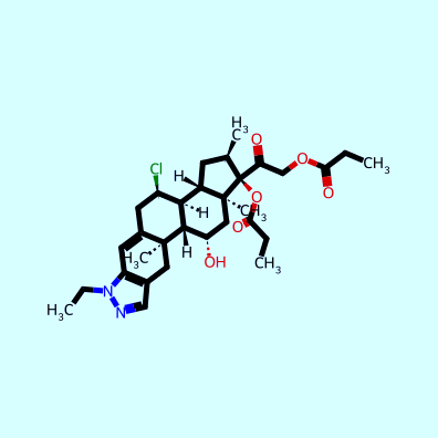 CCC(=O)OCC(=O)[C@@]1(OC(=O)CC)[C@H](C)C[C@H]2[C@H]3[C@H]([C@@H](O)C[C@@]21C)[C@@]1(C)Cc2cnn(CC)c2C=C1C[C@H]3Cl